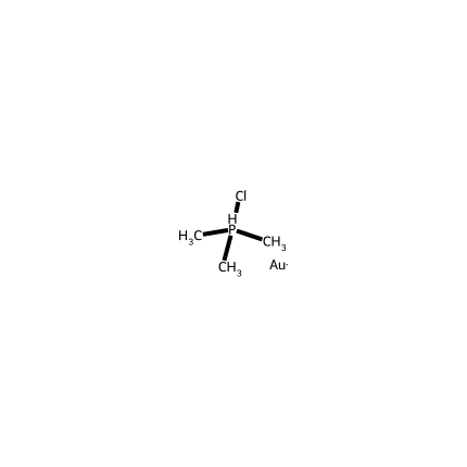 C[PH](C)(C)Cl.[Au]